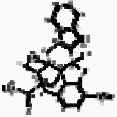 COc1ccc2c3c1O[C@H]1c4[nH]c5ccccc5c4C[C@@]4(O)[C@@H](C2)N(C(=O)C(Cl)(Cl)Cl)CC[C@]314